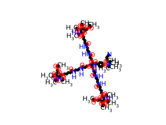 CC(=O)NC1C(OCCCCC(=O)NCCCNC(=O)CCOCC(COCCC(=O)NCCCNC(=O)CCCCOC2OC(COC(C)=O)C(OC(C)=O)C(OC(C)=O)C2NC(C)=O)(COCCC(=O)NCCCNC(=O)CCCCOC2OC(COC(C)=O)C(OC(C)=O)C(OC(C)=O)C2NC(C)=O)NC(=O)C2CCC(OP(OCCC#N)N(C(C)C)C(C)C)CC2)OC(COC(C)=O)C(OC(C)=O)C1OC(C)=O